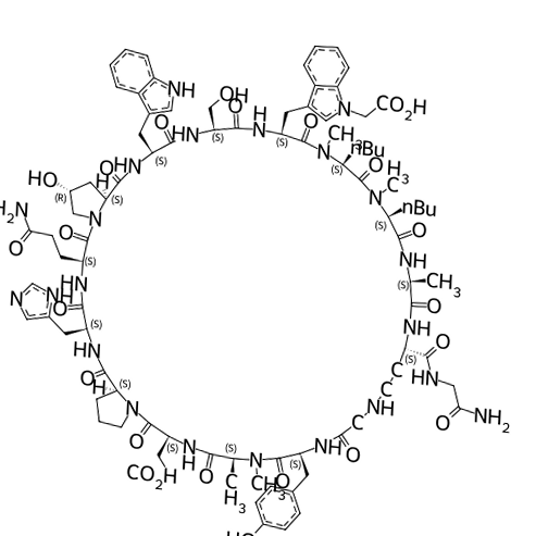 CCCC[C@H]1C(=O)N(C)[C@@H](CCCC)C(=O)N[C@@H](C)C(=O)N[C@H](C(=O)NCC(N)=O)CCNCC(=O)N[C@@H](Cc2ccc(O)cc2)C(=O)N(C)[C@@H](C)C(=O)N[C@@H](CC(=O)O)C(=O)N2CCC[C@H]2C(=O)N[C@@H](Cc2cnc[nH]2)C(=O)N[C@@H](CCC(N)=O)C(=O)N2C[C@H](O)C[C@H]2C(=O)N[C@@H](Cc2c[nH]c3ccccc23)C(=O)N[C@@H](CO)C(=O)N[C@@H](Cc2cn(CC(=O)O)c3ccccc23)C(=O)N1C